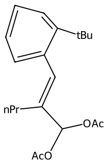 CCC/C(=C\c1ccccc1C(C)(C)C)C(OC(C)=O)OC(C)=O